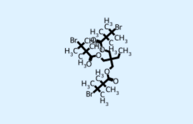 CCC(COC(=O)C(C)(C)C(C)(C)Br)(COC(=O)C(C)(C)C(C)(C)Br)COC(=O)C(C)(C)C(C)(C)Br